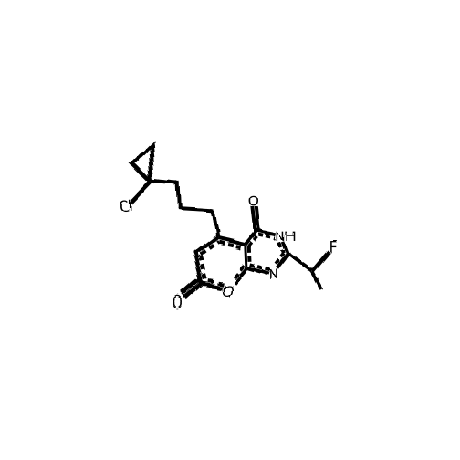 CC(F)c1nc2oc(=O)cc(CCCC3(Cl)CC3)c2c(=O)[nH]1